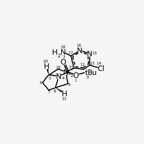 CC(C)(C)OC(=O)N1[C@@H]2CC[C@H]1CN(c1cc(Cl)nnc1N)C2